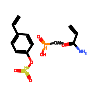 C=CC(N)=O.C=Cc1ccc(O[SH](=O)=O)cc1.CO[PH](=O)O